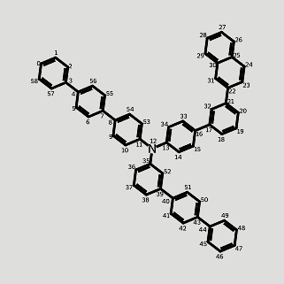 c1ccc(-c2ccc(-c3ccc(N(c4ccc(-c5cccc(-c6ccc7ccccc7c6)c5)cc4)c4cccc(-c5ccc(-c6ccccc6)cc5)c4)cc3)cc2)cc1